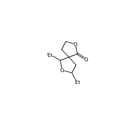 CCC1CC2(CCOC2=O)C(CC)O1